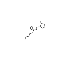 CCCCCC(=O)/C=C/[C@H]1CCCC1C